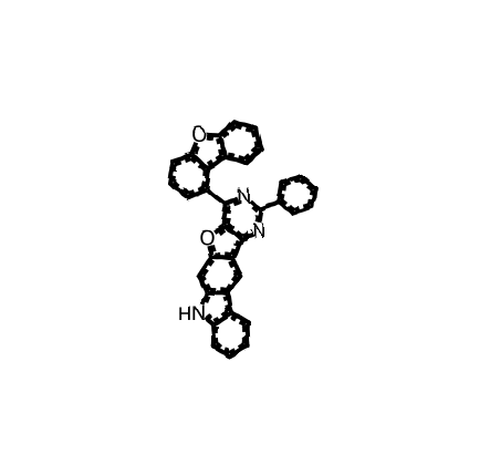 c1ccc(-c2nc(-c3cccc4oc5ccccc5c34)c3oc4cc5[nH]c6ccccc6c5cc4c3n2)cc1